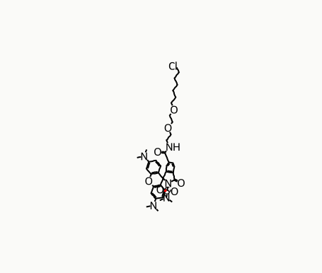 CN(C)c1ccc2c(c1)Oc1cc(N(C)C)ccc1C21c2cc(C(=O)NCCOCCOCCCCCCCl)ccc2C(=O)N1S(=O)(=O)N(C)C